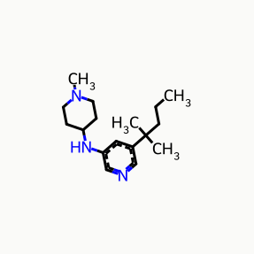 CCCC(C)(C)c1cncc(NC2CCN(C)CC2)c1